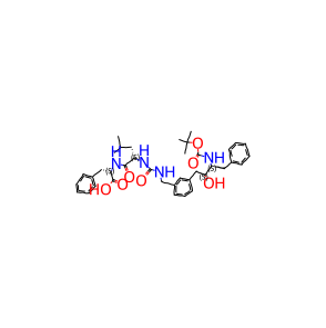 CC(C)C[C@H](NC(=O)NCc1cccc(C[C@H](O)[C@H](Cc2ccccc2)NC(=O)OC(C)(C)C)c1)C(=O)N[C@@H](Cc1ccccc1)C(=O)O